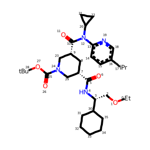 CCOC[C@@H](NC(=O)[C@H]1C[C@@H](C(=O)N(c2ccc(C(C)C)cn2)C2CC2)CN(C(=O)OC(C)(C)C)C1)C1CCCCC1